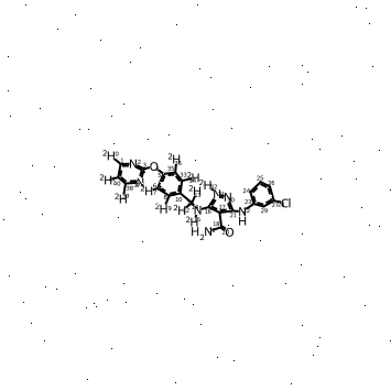 [2H]c1nc(Oc2c([2H])c([2H])c(C([2H])([2H])N([2H])c3c(C(N)=O)c(Nc4cccc(Cl)c4)nn3[2H])c([2H])c2[2H])nc([2H])c1[2H]